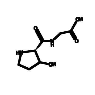 O=C(O)CNC(=O)[C@H]1NCCC1O